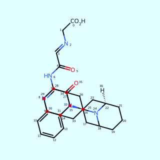 O=C(O)CN=CC(=O)Nc1nc2ccccc2n([C@@H]2CC3CCC[C@H](C2)N3C2CC3CCCC(C3)C2)c1=O